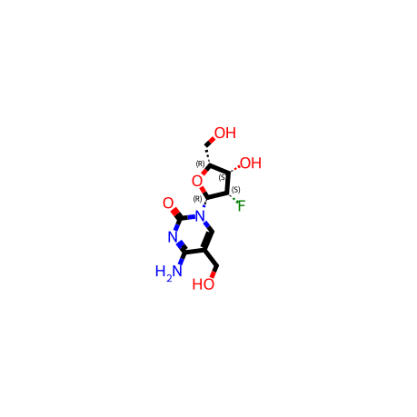 Nc1nc(=O)n([C@@H]2O[C@H](CO)[C@H](O)[C@@H]2F)cc1CO